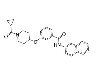 O=C(Nc1ccc2ccccc2c1)c1cccc(OC2CCN(C(=O)C3CC3)CC2)c1